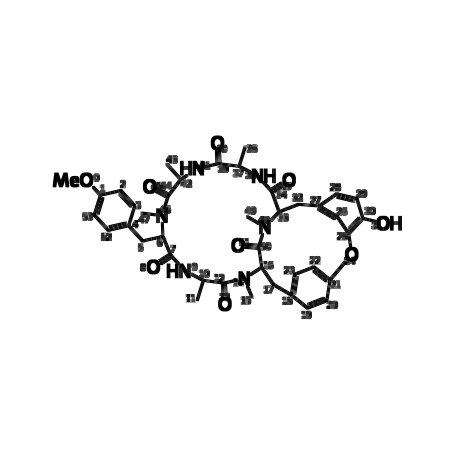 COc1ccc(CC2C(=O)NC(C)C(=O)N(C)C3Cc4ccc(cc4)Oc4cc(ccc4O)CC(C(=O)NC(C)C(=O)NC(C)C(=O)N2C)N(C)C3=O)cc1